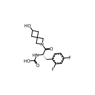 O=C(O)N[C@@H](Cc1ccc(F)cc1F)C(=O)N1CC2(CC(O)C2)C1